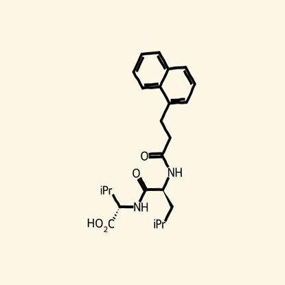 CC(C)C[C@H](NC(=O)CCc1cccc2ccccc12)C(=O)N[C@H](C(=O)O)C(C)C